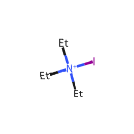 CC[N+](I)(CC)CC